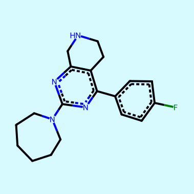 Fc1ccc(-c2nc(N3CCCCCC3)nc3c2CCNC3)cc1